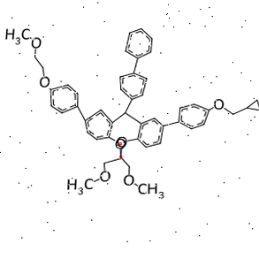 COCCOc1ccc(-c2ccc(OCCOC)c(C(c3ccc(-c4ccccc4)cc3)c3cc(-c4ccc(OCC5CC5)cc4)ccc3OCCOC)c2)cc1